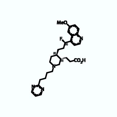 COc1ccc2nccc([C@H](F)CC[C@@H]3CCN(CCCCc4ncccn4)C[C@H]3CCC(=O)O)c2c1